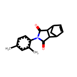 Cc1ccc(N2C(=O)C3C4C=CC(C4)C3C2=O)c(C)c1